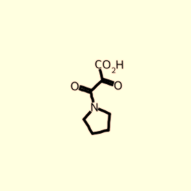 O=C(O)C(=O)C(=O)N1CCCC1